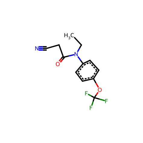 CCN(C(=O)CC#N)c1ccc(OC(F)(F)F)cc1